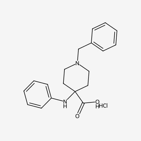 Cl.O=C(O)C1(Nc2ccccc2)CCN(Cc2ccccc2)CC1